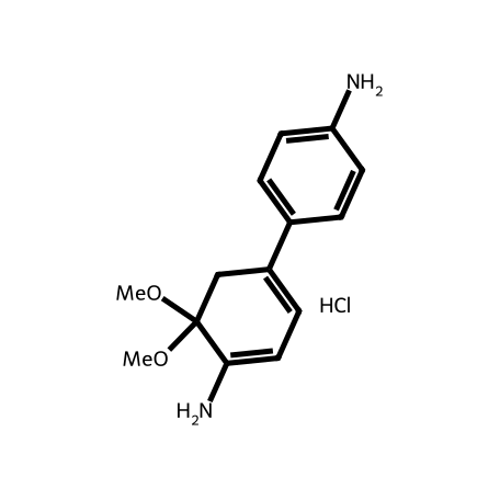 COC1(OC)CC(c2ccc(N)cc2)=CC=C1N.Cl